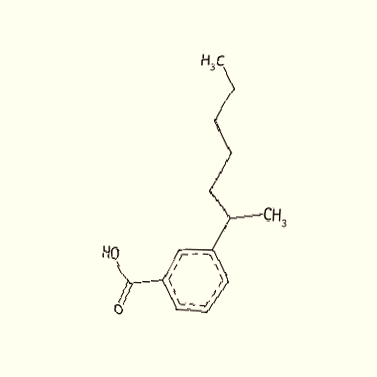 CCCCCC(C)c1cccc(C(=O)O)c1